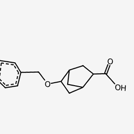 O=C(O)C1CC2CC1CC2OCc1ccccc1